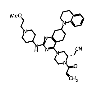 C=CC(=O)N1CCN(c2nc(NC3CCN(CCOC)CC3)nc3c2CCC(N2CCCc4ccccc42)C3)C[C@@H]1CC#N